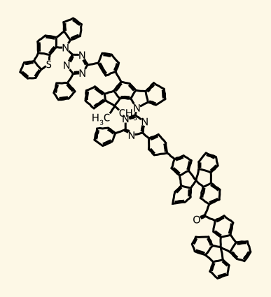 CC1(C)c2ccccc2-c2c(-c3cccc(-c4nc(-c5ccccc5)nc(-n5c6ccccc6c6ccc7c8ccccc8sc7c65)n4)c3)cc3c4ccccc4n(-c4nc(-c5ccccc5)nc(-c5ccc(-c6ccc7c(c6)-c6ccccc6C76c7ccccc7-c7ccc(C(=O)c8ccc9c(c8)C8(c%10ccccc%10-c%10ccccc%108)c8ccccc8-9)cc76)cc5)n4)c3c21